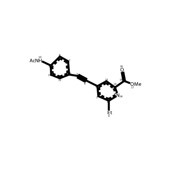 CCc1cc(C#Cc2ccc(NC(C)=O)cc2)cc(C(=O)OC)n1